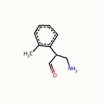 Cc1ccccc1C(C=O)CN